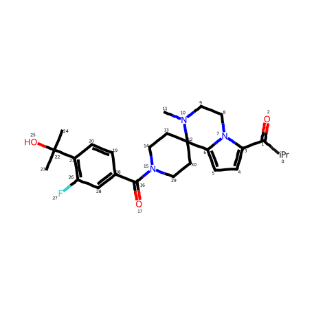 CC(C)C(=O)c1ccc2n1CCN(C)C21CCN(C(=O)c2ccc(C(C)(C)O)c(F)c2)CC1